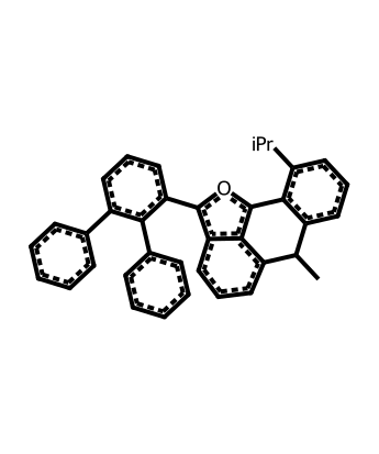 CC(C)c1cccc2c1-c1oc(-c3cccc(-c4ccccc4)c3-c3ccccc3)c3cccc(c13)C2C